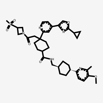 COc1ccc([C@H]2CC[C@H](CNC(=O)C3CCC(CC(=O)N4CC(S(C)(=O)=O)C4)(c4cc(-c5coc(C6CC6)n5)ccn4)CC3)CC2)nc1C